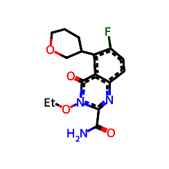 CCOn1c(C(N)=O)nc2ccc(F)c(C3CCCOC3)c2c1=O